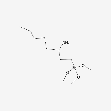 CCCCCC(N)CC[Si](OC)(OC)OC